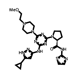 COCCN1CCN(c2nc(Nc3cc(C4CC4)[nH]n3)nc(N3CCC[C@H]3C(=O)Nc3nccs3)n2)CC1